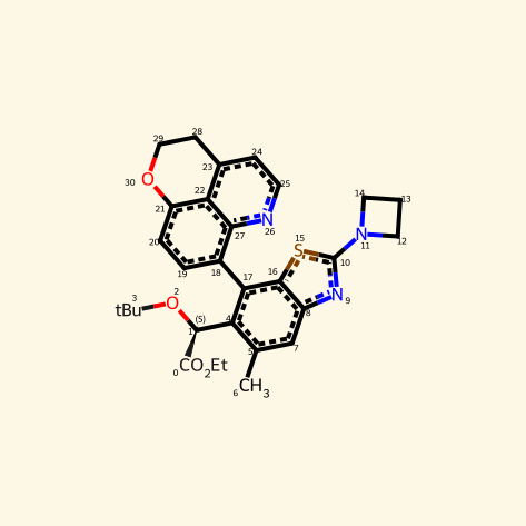 CCOC(=O)[C@@H](OC(C)(C)C)c1c(C)cc2nc(N3CCC3)sc2c1-c1ccc2c3c(ccnc13)CCO2